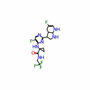 O=C(NCC(F)(F)F)C1(Nc2nc(C3CNC4NC=C(F)CC43)ncc2F)CC1